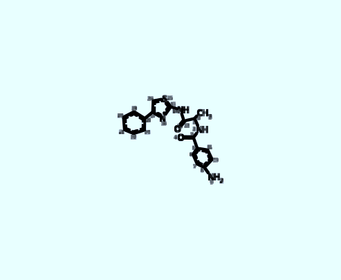 CC(NC(=O)c1ccc(N)cc1)C(=O)Nc1nc(-c2ccccc2)cs1